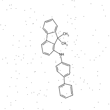 CC1(C)c2ccccc2-c2cccc(Nc3ccc(-c4ccccc4)cc3)c21